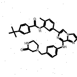 Cc1ccc(-c2cn3ccnc3c(Nc3ccc(CN4CCNC(=O)C4)cc3)n2)cc1NC(=O)c1ccc(C(C)(C)C)cc1